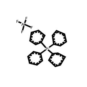 [F][Al-]([F])([F])[F].c1ccc([P+](c2ccccc2)(c2ccccc2)c2ccccc2)cc1